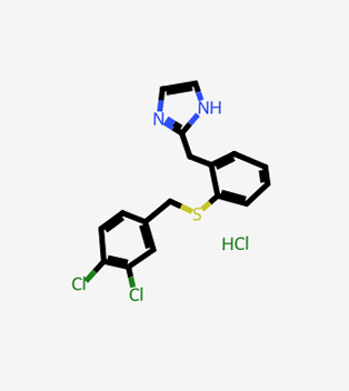 Cl.Clc1ccc(CSc2ccccc2Cc2ncc[nH]2)cc1Cl